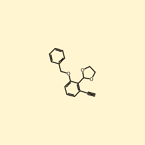 C#Cc1cccc(OCc2ccccc2)c1C1OCCO1